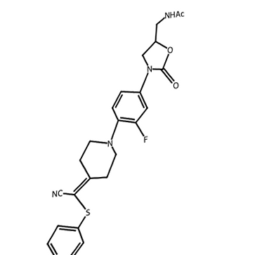 CC(=O)NCC1CN(c2ccc(N3CCC(=C(C#N)Sc4ccccc4)CC3)c(F)c2)C(=O)O1